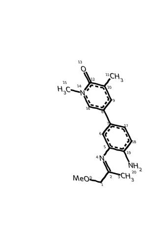 COC/C(C)=N/c1cc(-c2cc(C)c(=O)n(C)c2)ccc1N